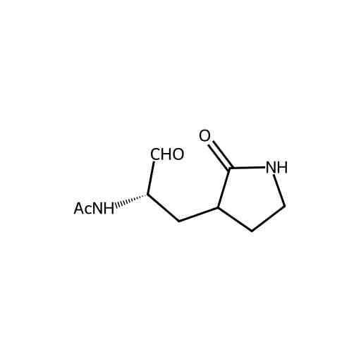 CC(=O)N[C@H](C=O)CC1CCNC1=O